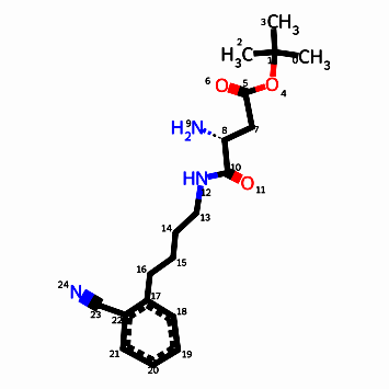 CC(C)(C)OC(=O)C[C@@H](N)C(=O)NCCCCc1ccccc1C#N